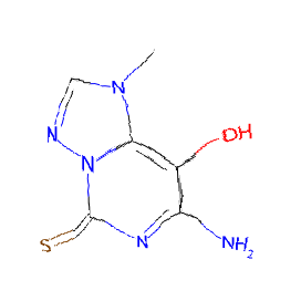 Cn1cnn2c(=S)nc(N)c(O)c12